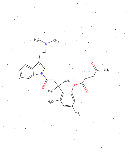 CC(=O)CCC(=O)Oc1cc(C)cc(C)c1C(C)(C)CC(=O)n1cc(CCN(C)C)c2ccccc21